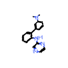 CN(C)c1cccc(-c2ccccc2Nc2cnccn2)c1